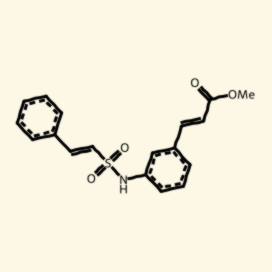 COC(=O)C=Cc1cccc(NS(=O)(=O)/C=C/c2ccccc2)c1